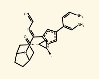 N=C/N=C(\c1cc(C(/C=C\N)=C/N)c[nH]1)N1CC2CCC(C1)N2C(=O)[C@@H]1C[C@H]1F